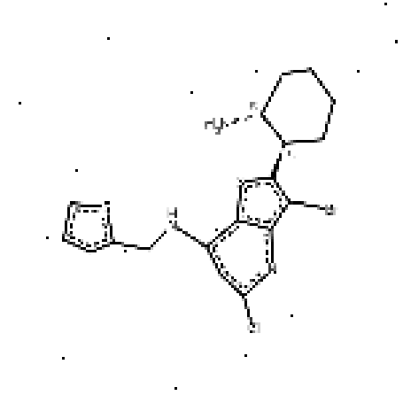 N[C@@H]1CCCC[C@H]1c1sc2c(NCc3cccs3)cc(Cl)nc2c1Br